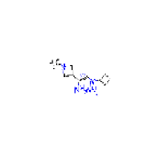 CN1CC(/C(N)=C/N(N)C2CCC2)C1